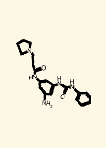 Nc1cc(NC(=O)CCN2CCCC2)cc(NC(=O)Nc2ccccc2)c1